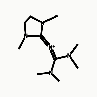 CN(C)C(=[N+]=C1N(C)CCN1C)N(C)C